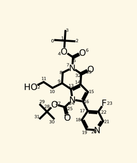 CC(C)(C)OC(=O)N1CC(CCO)c2c(cc(-c3ccncc3F)n2C(=O)OC(C)(C)C)C1=O